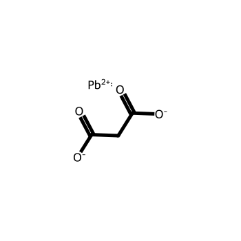 O=C([O-])CC(=O)[O-].[Pb+2]